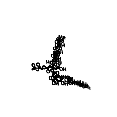 CC(=O)OC(=O)COC(=O)CC(CC(=O)O)(OC(=O)CC(O)(CC(=O)O)C(=O)O)C(=O)O.N.N.O=S(=O)(O)O.O=S(=O)(O)O.O=S(=O)(O)O.O=S(=O)(O)O.[MgH2].[MgH2].[Mn].[Mn].[NaH].[NaH]